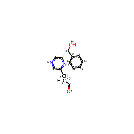 CC=O.Cc1cnccn1.OCc1ccccc1